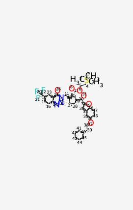 CS(C)(C)CCOC(=O)[C@H]1[C@H](Cn2nnc3ccc(C(F)(F)F)cc3c2=O)CC[C@@H]1C(=O)c1cc2cc(OCCc3ccccc3)ccc2o1